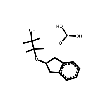 CC(C)(O)C(C)(C)OC1Cc2ccccc2C1.OB(O)O